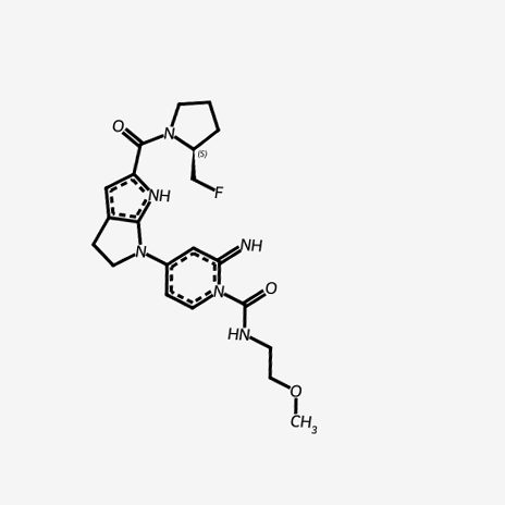 COCCNC(=O)n1ccc(N2CCc3cc(C(=O)N4CCC[C@H]4CF)[nH]c32)cc1=N